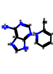 CC(=O)c1ccccn1.Nc1ncnc2[nH]cnc12